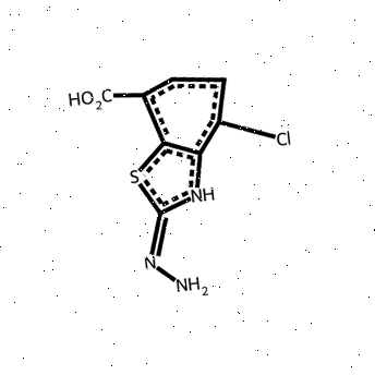 N/N=c1\[nH]c2c(Cl)ccc(C(=O)O)c2s1